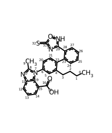 CCCCc1cc(-n2c(C)nc3cccc(C(=O)O)c32)ccc1-c1ccccc1-c1nc(=S)o[nH]1